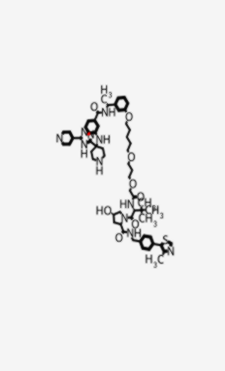 Cc1ncsc1-c1ccc(CNC(=O)C2C[C@@H](O)CN2C(=O)[C@@H](NC(=O)COCCCOCCCCCOc2cccc([C@H](C)NC(=O)c3cccc(NC4(c5nnc(-c6ccncc6)[nH]5)CCNCC4)c3)c2)C(C)(C)C)cc1